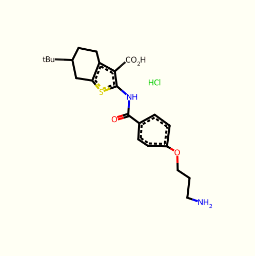 CC(C)(C)C1CCc2c(sc(NC(=O)c3ccc(OCCCN)cc3)c2C(=O)O)C1.Cl